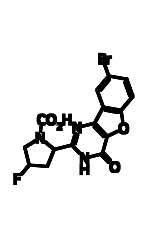 O=C(O)N1CC(F)CC1c1nc2c(oc3ccc(Br)cc32)c(=O)[nH]1